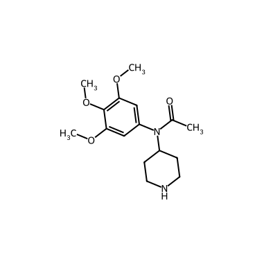 COc1cc(N(C(C)=O)C2CCNCC2)cc(OC)c1OC